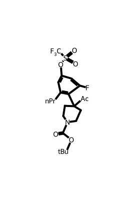 CCCc1cc(OS(=O)(=O)C(F)(F)F)cc(F)c1C1(C(C)=O)CCN(C(=O)OC(C)(C)C)CC1